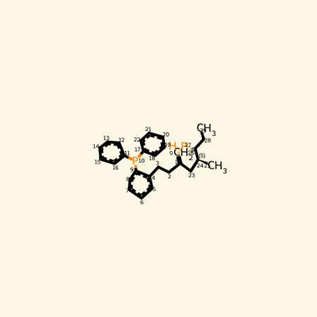 C=C(CCc1ccccc1P(c1ccccc1)c1ccccc1)C[C@H](C)[C@H](P)CC